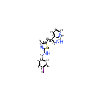 Cc1nc(NCc2ccc(I)cc2)sc1Cc1c[nH]c2ncccc12